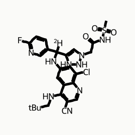 [2H]C(Nc1cc(Cl)c2ncc(C#N)c(NCC(C)(C)C)c2c1)(C1=CN(CC(=O)NS(C)(=O)=O)NN1)c1ccc(F)nc1